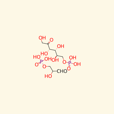 O=C(CO)[C@@H](O)[C@H](O)[C@H](O)COP(=O)(O)O.O=CC(O)COP(=O)(O)O